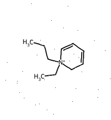 CCC[N+]1(CC)C=CC=CC1